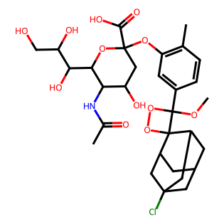 COC1(c2ccc(C)c(OC3(C(=O)O)CC(O)C(NC(C)=O)C(C(O)C(O)CO)O3)c2)OOC12C1CC3CC2CC(Cl)(C3)C1